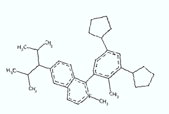 Cc1c(-c2c3ccc(C(C(C)C)C(C)C)cc3cc[n+]2C)cc(C2CCCC2)cc1C1CCCC1